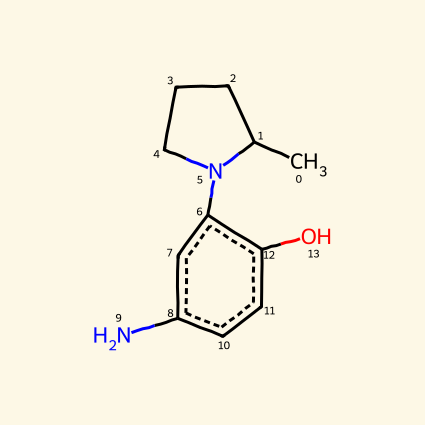 CC1CCCN1c1cc(N)ccc1O